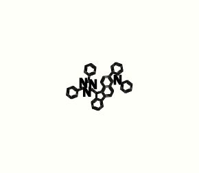 c1ccc(-c2nc(-c3ccccc3)nc(C3c4ccccc4-c4ccc5c(ccc6c7ccccc7n(-c7ccccc7)c56)c43)n2)cc1